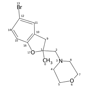 CC1(CN2CCOCC2)Cc2cc(Br)ccc2O1